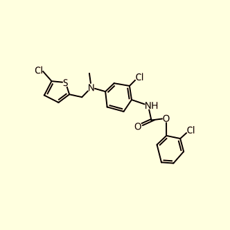 CN(Cc1ccc(Cl)s1)c1ccc(NC(=O)Oc2ccccc2Cl)c(Cl)c1